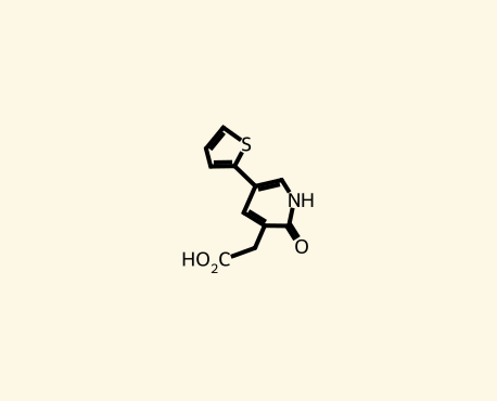 O=C(O)Cc1cc(-c2cccs2)c[nH]c1=O